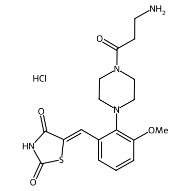 COc1cccc(/C=C2\SC(=O)NC2=O)c1N1CCN(C(=O)CCN)CC1.Cl